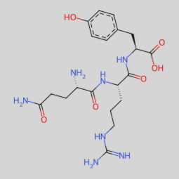 N=C(N)NCCC[C@H](NC(=O)[C@@H](N)CCC(N)=O)C(=O)N[C@@H](Cc1ccc(O)cc1)C(=O)O